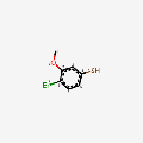 COc1cc(S)ccc1Br